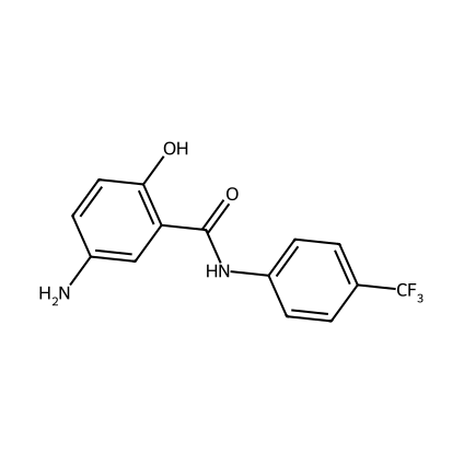 Nc1ccc(O)c(C(=O)Nc2ccc(C(F)(F)F)cc2)c1